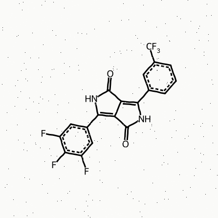 O=C1NC(c2cc(F)c(F)c(F)c2)=C2C(=O)NC(c3cccc(C(F)(F)F)c3)=C12